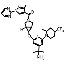 Cc1nn(-c2ncccn2)cc1C(=O)N1CC2[C@@H](C1)[C@@H]2Oc1cc(C(C)(C)N)cc(N2CCC(C(F)(F)F)CC2C)n1